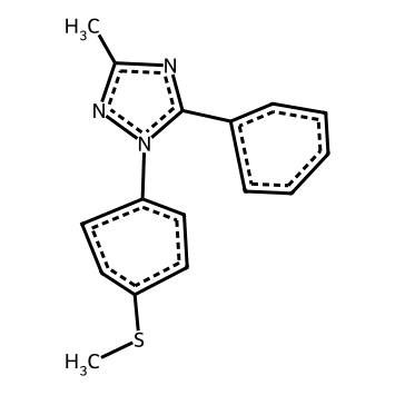 CSc1ccc(-n2nc(C)nc2-c2ccccc2)cc1